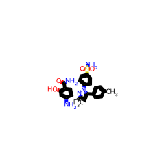 Cc1ccc(-c2cc(C(F)(F)F)nn2-c2ccc(S(N)(=O)=O)cc2)cc1.NC(=O)c1ccc(N)cc1O